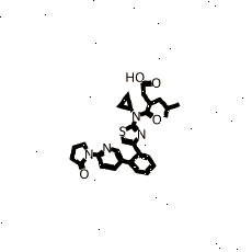 CC(C)CC(CC(=O)O)C(=O)N(c1nc(-c2ccccc2-c2ccc(N3CCCC3=O)nc2)cs1)C1CC1